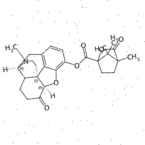 CN1CC[C@]23c4c5ccc(OC(=O)C67CCC(C)(C(=O)O6)C7(C)C)c4O[C@H]2C(=O)CCC3[C@H]1C5